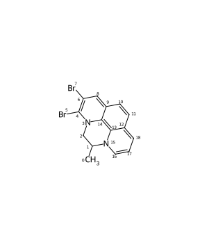 CC1CN2C(Br)=C(Br)C=c3ccc4c(c32)N1C=CC=4